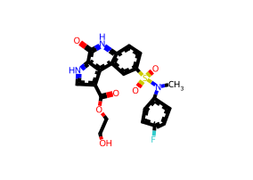 CN(c1ccc(F)cc1)S(=O)(=O)c1ccc2[nH]c(=O)c3[nH]cc(C(=O)OCCO)c3c2c1